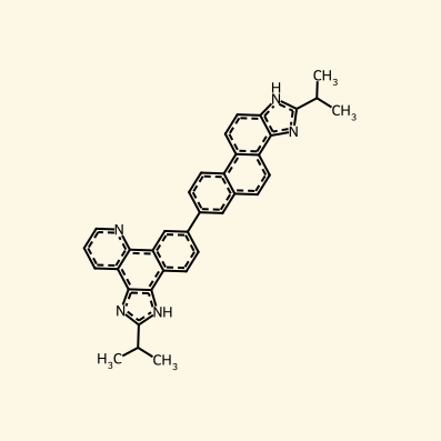 CC(C)c1nc2c(ccc3c4ccc(-c5ccc6c(c5)c5ncccc5c5nc(C(C)C)[nH]c65)cc4ccc32)[nH]1